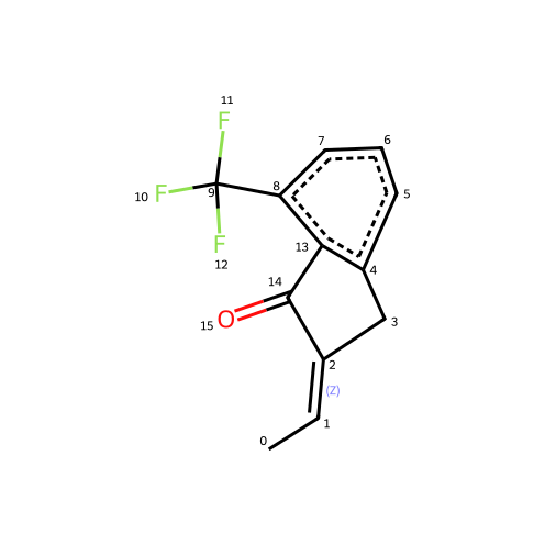 C/C=C1/Cc2cccc(C(F)(F)F)c2C1=O